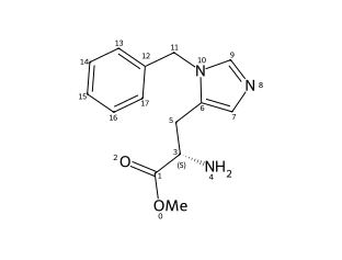 COC(=O)[C@@H](N)Cc1cncn1Cc1ccccc1